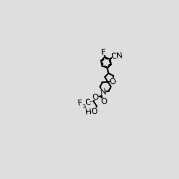 N#Cc1cc(C2COC3(CCN(C(=O)O[C@H](CO)C(F)(F)F)CC3)C2)ccc1F